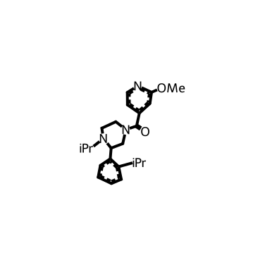 COc1cc(C(=O)N2CCN(C(C)C)C(c3ccccc3C(C)C)C2)ccn1